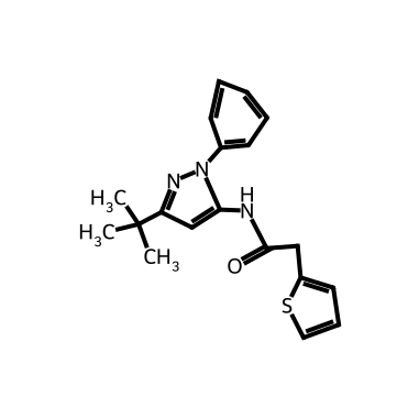 CC(C)(C)c1cc(NC(=O)Cc2cccs2)n(-c2ccccc2)n1